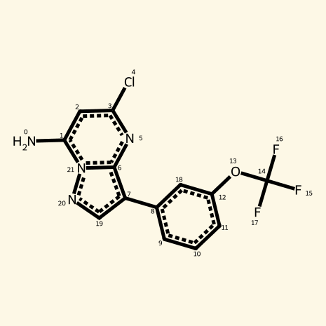 Nc1cc(Cl)nc2c(-c3cccc(OC(F)(F)F)c3)cnn12